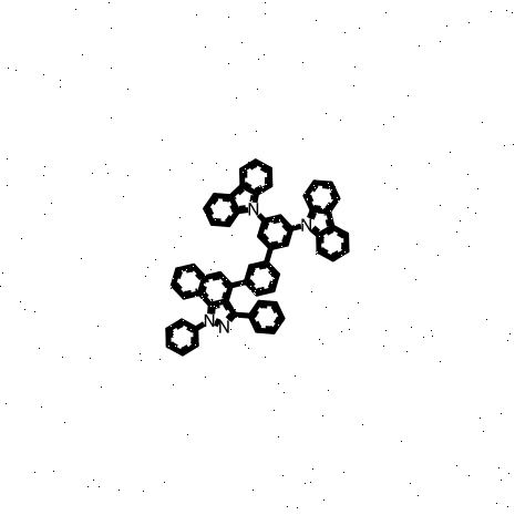 c1ccc(-c2nn(-c3ccccc3)c3c2c(-c2cccc(-c4cc(-n5c6ccccc6c6ccccc65)cc(-n5c6ccccc6c6ccccc65)c4)c2)cc2ccccc23)cc1